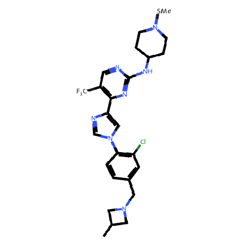 CSN1CCC(Nc2ncc(C(F)(F)F)c(-c3cn(-c4ccc(CN5CC(C)C5)cc4Cl)cn3)n2)CC1